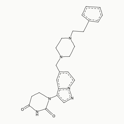 O=C1CCN(c2cnn3ccc(CN4CCN(CCc5ccccc5)CC4)cc23)C(=O)N1